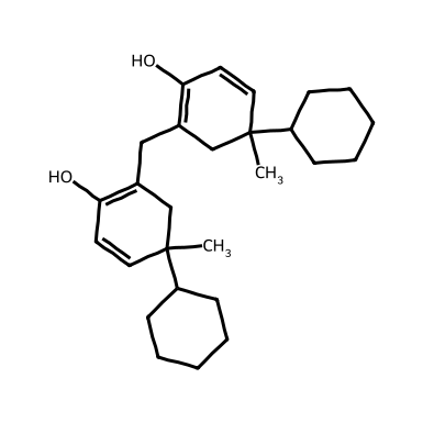 CC1(C2CCCCC2)C=CC(O)=C(CC2=C(O)C=CC(C)(C3CCCCC3)C2)C1